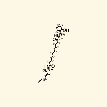 C=C/C=C\C=C(/C)C(=O)NNC(=O)CCCCCCCCCCC(=O)NNC(=O)c1ccccc1O